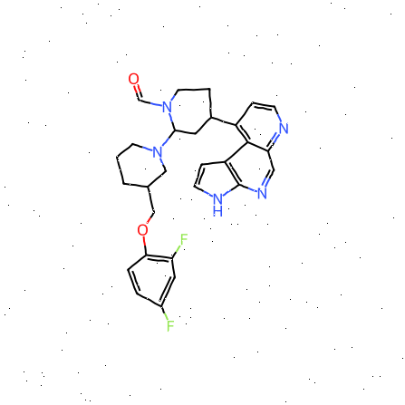 O=CN1CCC(c2ccnc3cnc4[nH]ccc4c23)CC1N1CCCC(COc2ccc(F)cc2F)C1